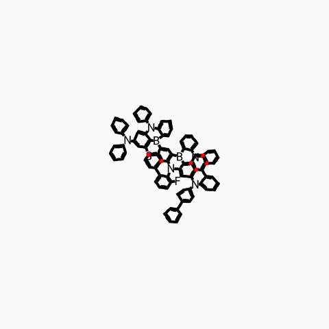 Fc1cccc(-c2ccccc2)c1N1c2cc3c(cc2B2c4ccccc4N(c4ccccc4)c4cc(N(c5ccc(-c6ccccc6)cc5)c5ccccc5-c5ccccc5)cc1c42)B1c2ccccc2N(c2ccccc2)c2cc(N(c4ccccc4)c4ccccc4)cc(c21)S3